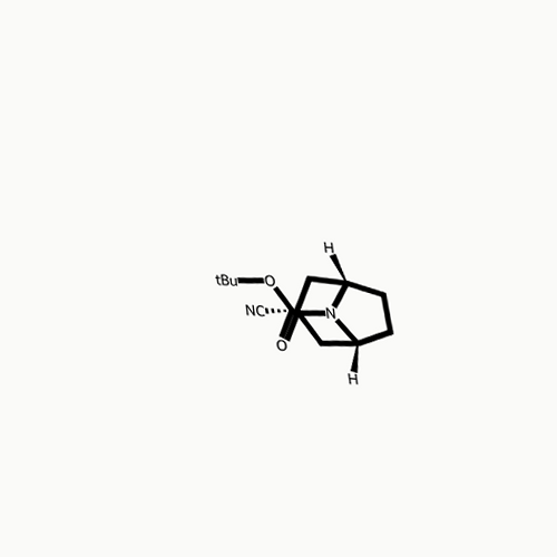 CC(C)(C)OC(=O)N1[C@@H]2CC[C@H]1C[C@@H](C#N)C2